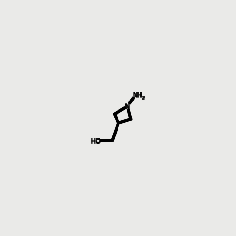 NN1CC(CO)C1